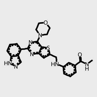 CNC(=O)c1cccc(NCc2cc3nc(-c4cccc5[nH]ncc45)nc(N4CCOCC4)c3s2)c1